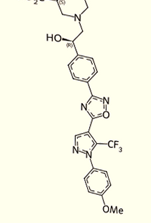 COc1ccc(-n2ncc(-c3nc(-c4ccc([C@@H](O)CN5CCC[C@H](C(=O)O)C5)cc4)no3)c2C(F)(F)F)cc1